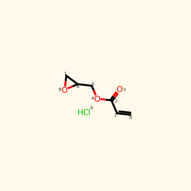 C=CC(=O)OCC1CO1.Cl